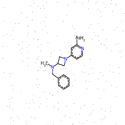 CN(Cc1ccccc1)C1CN(c2ccnc([AsH2])c2)C1